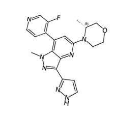 C[C@@H]1COCCN1c1cc(-c2ccncc2F)c2c(n1)c(-c1cc[nH]n1)nn2C